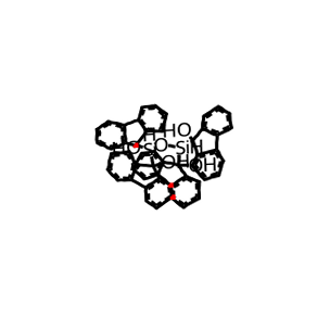 OC1([SiH](O[SiH](C2(O)c3ccccc3-c3ccccc32)C2(O)c3ccccc3-c3ccccc32)C2(O)c3ccccc3-c3ccccc32)c2ccccc2-c2ccccc21